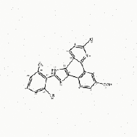 COc1ccc2c(c1)c1nc(Cl)ccc1c1[nH]c(-c3c(C#N)cccc3C#N)nc21